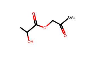 CC(=O)OC(=O)COC(=O)C(C)O